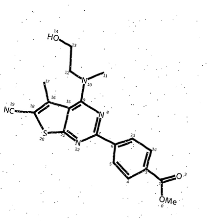 COC(=O)c1ccc(-c2nc(N(C)CCO)c3c(C)c(C#N)sc3n2)cc1